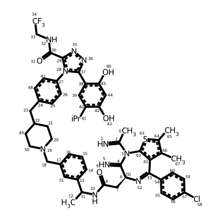 CC(=N)N1C(=N)[C@H](CC(=O)NC(C)c2cccc(CN3CCC(Cc4ccc(-n5c(C(=O)NCC(F)(F)F)nnc5-c5cc(C(C)C)c(O)cc5O)cc4)CC3)c2)N=C(c2ccc(Cl)cc2)c2c1sc(C)c2C